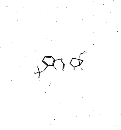 O=C(Nc1cccc(OC(F)(F)F)c1F)[C@@H]1C[C@@]2(CO)C[C@H]2N1